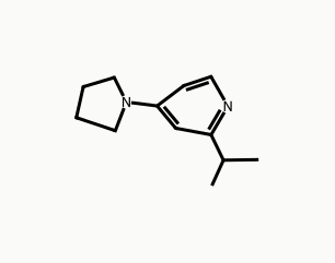 CC(C)c1cc(N2CCCC2)ccn1